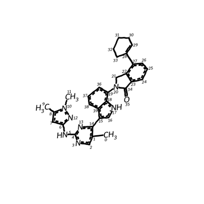 Cc1cnc(Nc2cc(C)n(C)n2)nc1-c1c[nH]c2c(N3Cc4c(cccc4C4=CCCCC4)C3=O)cccc12